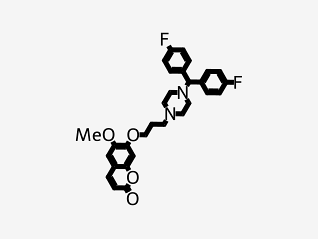 COc1cc2ccc(=O)oc2cc1OCCCN1CCN(C(c2ccc(F)cc2)c2ccc(F)cc2)CC1